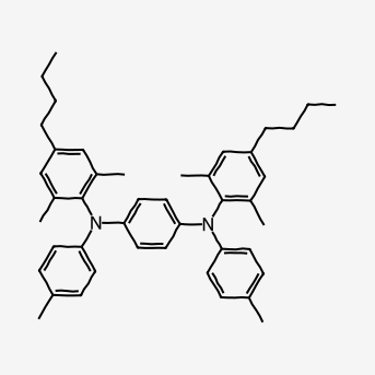 CCCCc1cc(C)c(N(c2ccc(C)cc2)c2ccc(N(c3ccc(C)cc3)c3c(C)cc(CCCC)cc3C)cc2)c(C)c1